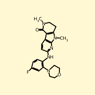 CN1CCc2c(c3ccc(Nc4ccc(F)cc4N4CCOCC4)nc3n2C)C1=O